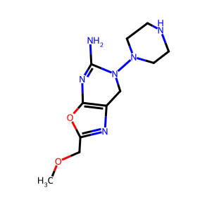 COCc1nc2c(o1)N=C(N)N(N1CCNCC1)C2